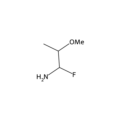 COC(C)C(N)F